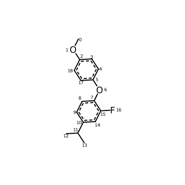 COc1ccc(Oc2ccc(C(C)C)cc2F)cc1